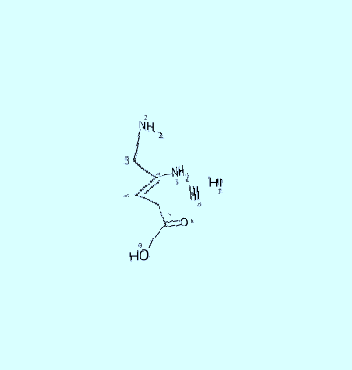 I.I.NCC(N)=CC(=O)O